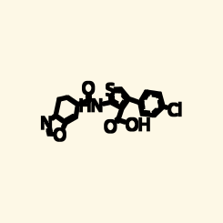 O=C(O)c1c(-c2ccc(Cl)cc2)csc1NC(=O)C1C=C2OC=NC2CC1